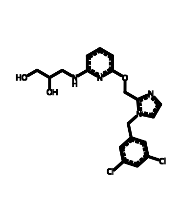 OCC(O)CNc1cccc(OCc2nccn2Cc2cc(Cl)cc(Cl)c2)n1